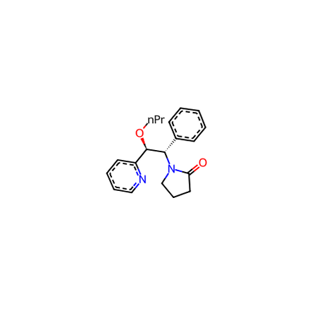 CCCO[C@H](c1ccccn1)[C@H](c1ccccc1)N1CCCC1=O